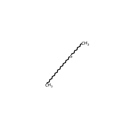 CCCCCCCCCCCCCCCCCCSCCCCCCCC